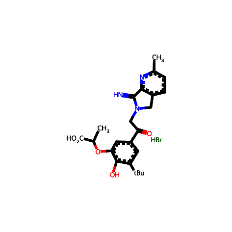 Br.Cc1ccc2c(n1)C(=N)N(CC(=O)c1cc(OC(C)C(=O)O)c(O)c(C(C)(C)C)c1)C2